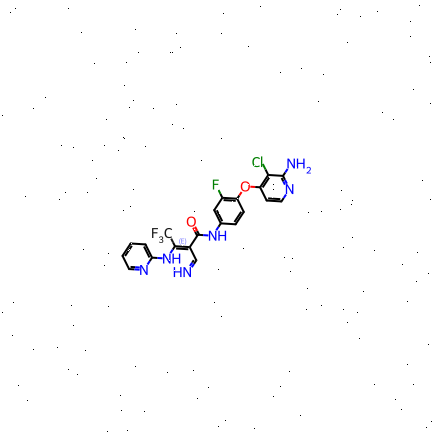 N=C/C(C(=O)Nc1ccc(Oc2ccnc(N)c2Cl)c(F)c1)=C(\Nc1ccccn1)C(F)(F)F